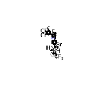 CC(NC(=O)CC(F)(F)F)NC(=O)c1ccc(/C(F)=C/C(c2cc(Cl)c(Cl)c(Cl)c2)C(C)(F)F)cc1Br